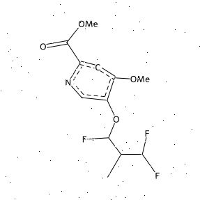 COC(=O)c1cc(OC)c(OC(F)C(C)C(F)F)cn1